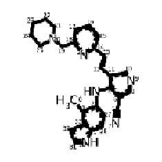 Cc1c(Nc2c(C#N)cncc2C=Cc2cccc(CN3CCCCC3)n2)ccc2[nH]ccc12